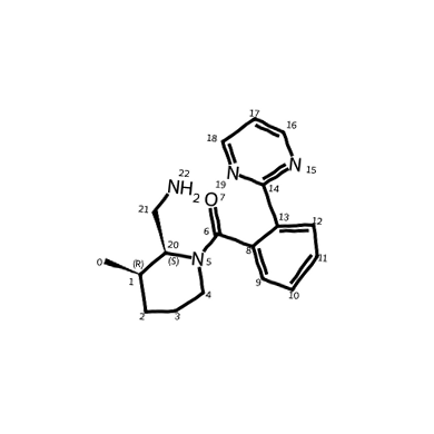 C[C@@H]1CCCN(C(=O)c2ccccc2-c2ncccn2)[C@@H]1CN